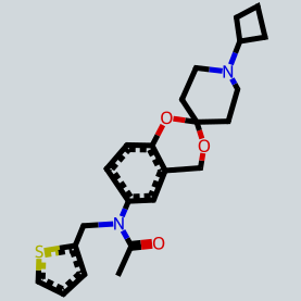 CC(=O)N(Cc1cccs1)c1ccc2c(c1)COC1(CCN(C3CCC3)CC1)O2